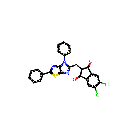 O=C1c2cc(Cl)c(Cl)cc2C(=O)C1Cc1nc2sc(-c3ccccc3)nc2n1-c1ccccc1